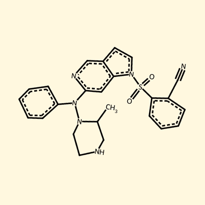 CC1CNCCN1N(c1ccccc1)c1cc2c(ccn2S(=O)(=O)c2ccccc2C#N)cn1